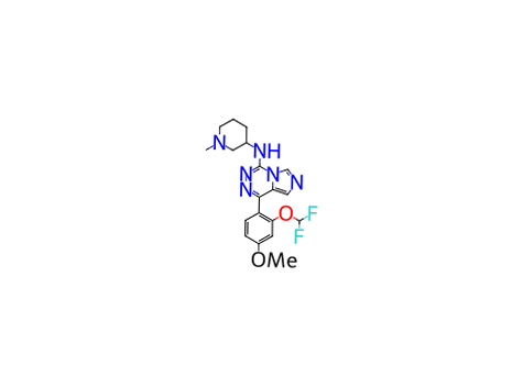 COc1ccc(-c2nnc(NC3CCCN(C)C3)n3cncc23)c(OC(F)F)c1